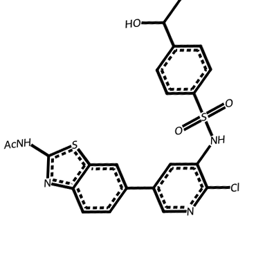 CC(=O)Nc1nc2ccc(-c3cnc(Cl)c(NS(=O)(=O)c4ccc(C(C)O)cc4)c3)cc2s1